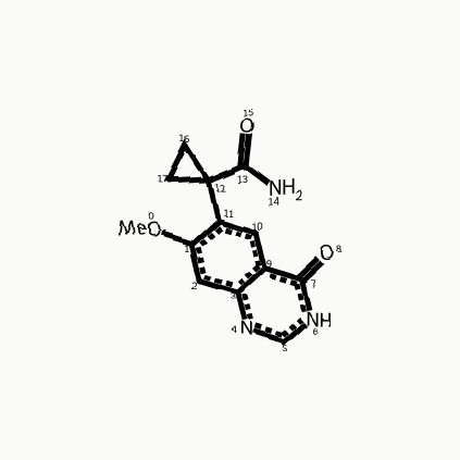 COc1cc2nc[nH]c(=O)c2cc1C1(C(N)=O)CC1